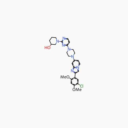 COc1cc(OC)c(-c2cn3ccc(N4CCN(c5ccnc(N6CCCC(O)C6)n5)CC4)cc3n2)cc1Cl